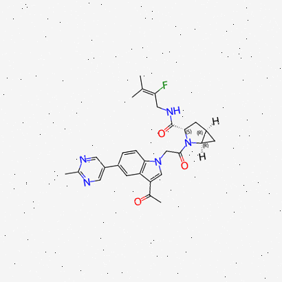 CC(=O)c1cn(CC(=O)N2[C@@H]3C[C@@H]3C[C@H]2C(=O)NCC(F)=C(C)C)c2ccc(-c3cnc(C)nc3)cc12